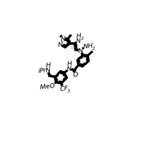 COc1c(CNC(C)C)cc(NC(=O)c2ccc(C)c(N(N)/C=C(\N)c3cnn(C)c3C)c2)cc1C(F)(F)F